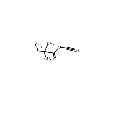 C#COC(=O)C(C)(C)CC